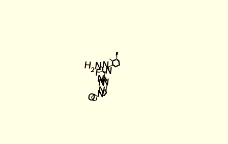 C#Cc1cccc(-c2nc(N)c(F)c(-c3cn(Cc4ccn(C5CCOC5)n4)nn3)n2)c1C